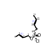 C/C=C/COP(=O)(Cl)SC/C=C/C